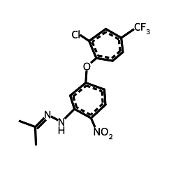 CC(C)=NNc1cc(Oc2ccc(C(F)(F)F)cc2Cl)ccc1[N+](=O)[O-]